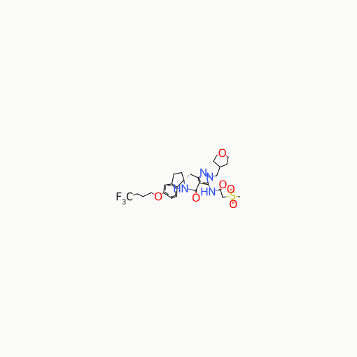 CS(=O)(=O)CC(=O)Nc1c2c(nn1CC1CCOCC1)C[C@]1(CCc3cc(OCCCC(F)(F)F)ccc31)NC2=O